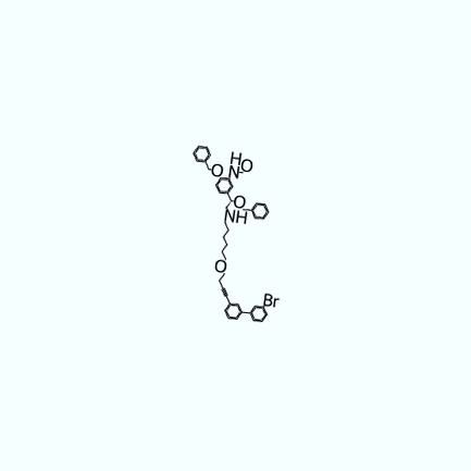 O=CNc1cc([C@H](CNCCCCCCOCCC#Cc2cccc(-c3cccc(Br)c3)c2)OCc2ccccc2)ccc1OCc1ccccc1